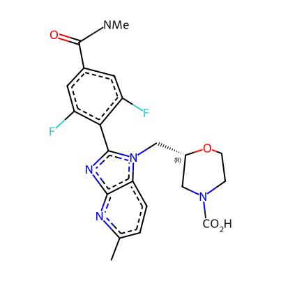 CNC(=O)c1cc(F)c(-c2nc3nc(C)ccc3n2C[C@H]2CN(C(=O)O)CCO2)c(F)c1